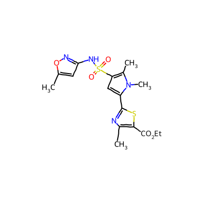 CCOC(=O)c1sc(-c2cc(S(=O)(=O)Nc3cc(C)on3)c(C)n2C)nc1C